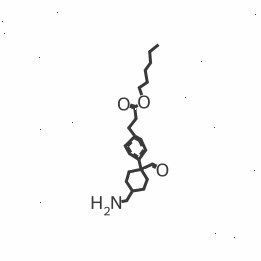 CCCCCCOC(=O)CCc1ccc(C2(C=O)CCC(CN)CC2)cc1